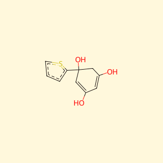 OC1=CC(O)(c2cccs2)CC(O)=C1